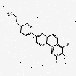 CCCc1ccc(-c2ccc3c(ccc4c(F)c(F)c(F)cc43)c2)cc1